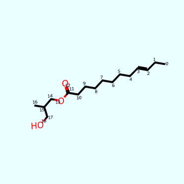 CC/C=C/CCCCCCCC(=O)OCC(C)CO